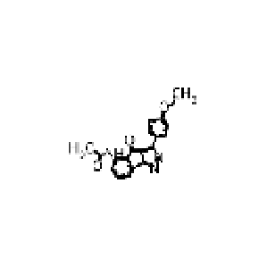 CCOc1ccc(C2=C3C(=O)c4c(NC(C)=O)cccc4C3N=N2)cc1